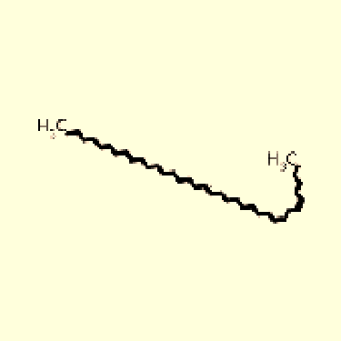 CCCCC/C=C\C/C=C\CCCCCCCC[CH]CCCCCCCC/C=C/C/C=C/CCCCC